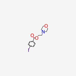 O=C(OCCN1CCOCC1)c1ccc(I)cc1